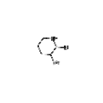 CCCC1CCCNC1CC